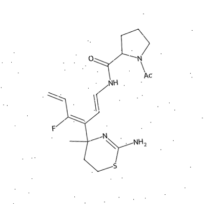 C=C/C(F)=C(\C=C\NC(=O)C1CCCN1C(C)=O)C1(C)CCSC(N)=N1